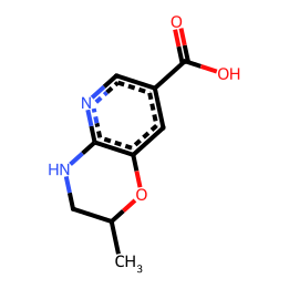 CC1CNc2ncc(C(=O)O)cc2O1